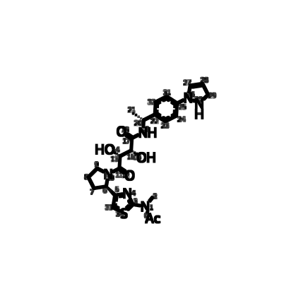 CC(=O)N(C)c1nc([C@H]2CCCN2C(=O)[C@H](O)[C@@H](O)C(=O)N[C@H](C)c2ccc(N3C=CCN3)cc2)cs1